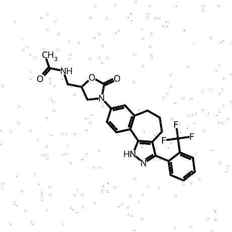 CC(=O)NCC1CN(c2ccc3c(c2)CCCc2c(-c4ccccc4C(F)(F)F)n[nH]c2-3)C(=O)O1